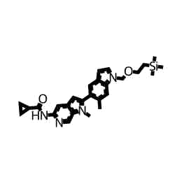 Cc1cc2c(ccn2COCC[Si](C)(C)C)cc1-c1cc2cc(NC(=O)C3CC3)ncc2n1C